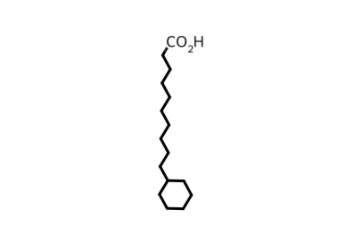 O=C(O)CCCCCCCCCC1CCCCC1